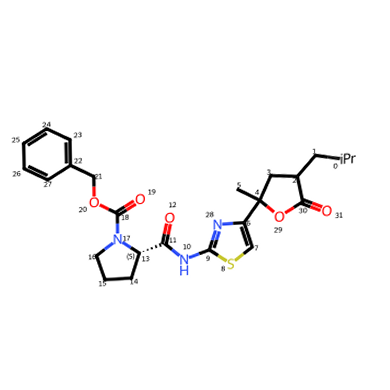 CC(C)CC1CC(C)(c2csc(NC(=O)[C@@H]3CCCN3C(=O)OCc3ccccc3)n2)OC1=O